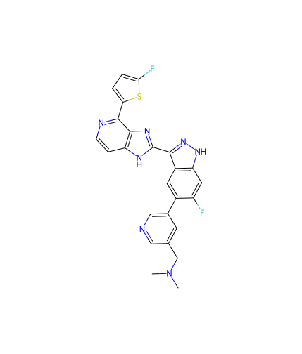 CN(C)Cc1cncc(-c2cc3c(-c4nc5c(-c6ccc(F)s6)nccc5[nH]4)n[nH]c3cc2F)c1